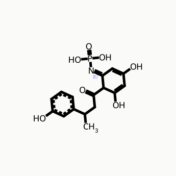 CC(CC(=O)C1C(O)=CC(O)=C/C1=N\P(=O)(O)O)c1cccc(O)c1